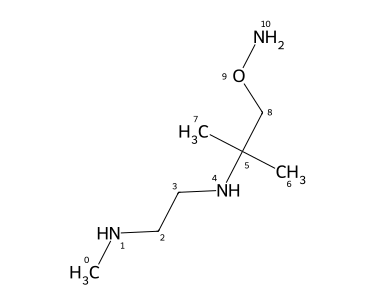 CNCCNC(C)(C)CON